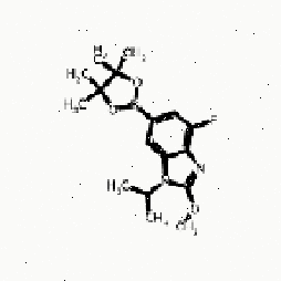 COc1nc2c(F)cc(B3OC(C)(C)C(C)(C)O3)cc2n1C(C)C